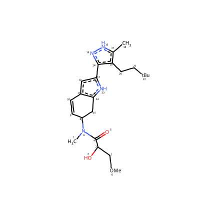 COCC(O)C(=O)N(C)C1C=Cc2cc(-c3n[nH]c(C)c3CCC(C)(C)C)[nH]c2C1